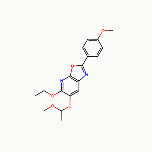 CCOc1nc2oc(-c3ccc(OC)cc3)nc2cc1OC(C)OC